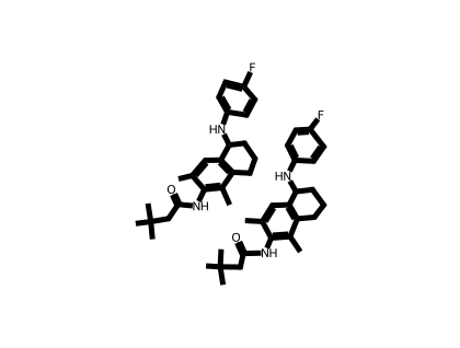 Cc1cc2c(c(C)c1NC(=O)CC(C)(C)C)CCCC2Nc1ccc(F)cc1.Cc1cc2c(c(C)c1NC(=O)CC(C)(C)C)CCCC2Nc1ccc(F)cc1